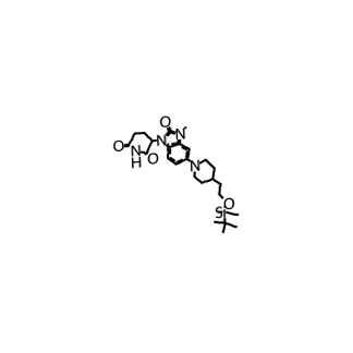 Cn1c(=O)n(C2CCC(=O)NC2=O)c2ccc(N3CCC(CCO[Si](C)(C)C(C)(C)C)CC3)cc21